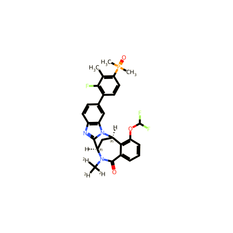 [2H]C([2H])([2H])N1C(=O)c2cccc(OC(F)F)c2[C@H]2C[C@@H]1c1nc3ccc(-c4ccc(P(C)(C)=O)c(C)c4F)cc3n12